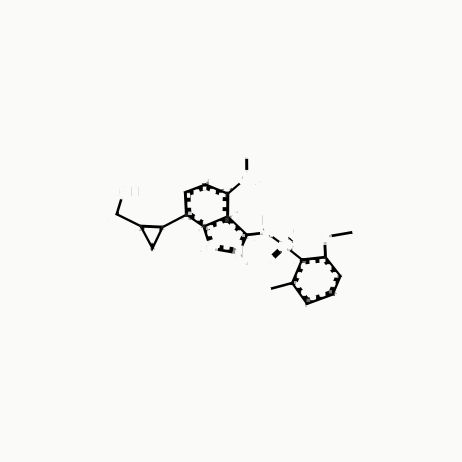 COc1cccc(F)c1S(=O)(=O)Nc1noc2c(C3CC3CO)ccc(OC)c12